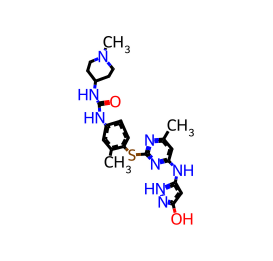 Cc1cc(Nc2cc(O)n[nH]2)nc(Sc2ccc(NC(=O)NC3CCN(C)CC3)cc2C)n1